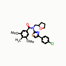 COc1cc(C(=O)N(CC2CCCO2)c2nc(-c3ccc(Cl)cc3)cs2)cc(OC)c1C